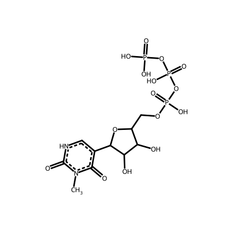 Cn1c(=O)[nH]cc(C2OC(COP(=O)(O)OP(=O)(O)OP(=O)(O)O)C(O)C2O)c1=O